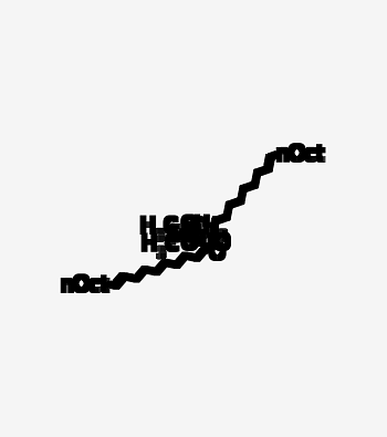 CCCCCCCCC=CCCCCCCC[C](=O)[Sn]([CH3])([O][Sn]([CH3])([CH3])[CH3])[C](=O)CCCCCCCC=CCCCCCCCC